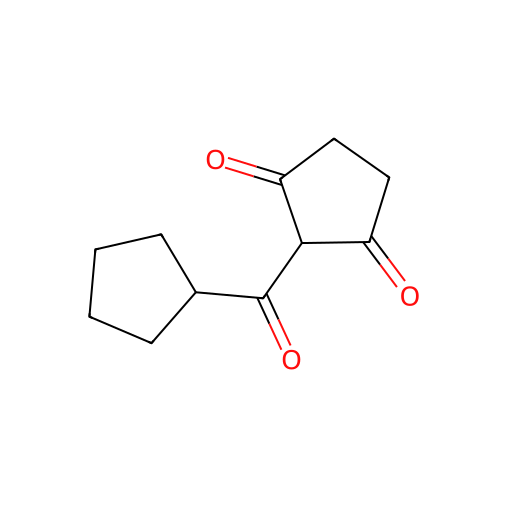 O=C1CCC(=O)C1C(=O)C1CCCC1